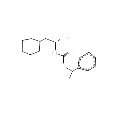 CC(C)C(OC(=O)N[C@@H](CC1CCCCC1)C(=O)O)c1ccccc1